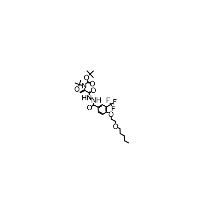 CCCCCOCCOc1ccc(C(=O)NNC(=O)C2=COC(C)(C)N2C(=O)OC(C)(C)C)cc1C(F)(F)F